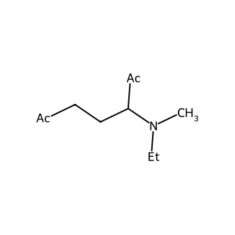 CCN(C)C(CCC(C)=O)C(C)=O